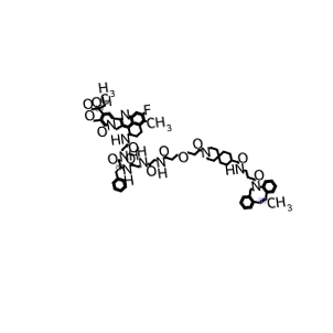 CC[C@@]1(O)C(=O)OCc2c1cc1n(c2=O)Cc2c-1nc1cc(F)c(C)c3c1c2C(NC(=O)CNC(=O)[C@H](Cc1ccccc1)NC(=O)CNC(=O)CNC(=O)CCOCCC(=O)N1CCC2(CCC(C(=O)NCCC(=O)N4Cc5ccccc5/C=C(/C)c5ccccc54)CC2)CC1)CC3